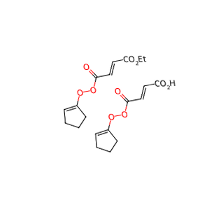 CCOC(=O)C=CC(=O)OOC1=CCCC1.O=C(O)C=CC(=O)OOC1=CCCC1